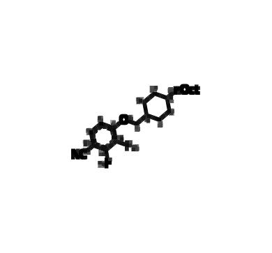 CCCCCCCCC1CCC(COc2ccc(C#N)c(F)c2F)CC1